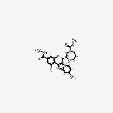 CNC(=O)c1cc(F)c(-c2nc3cc(C)ccn3c2C[C@H]2CN(C(=O)OC)CCCO2)c(F)c1